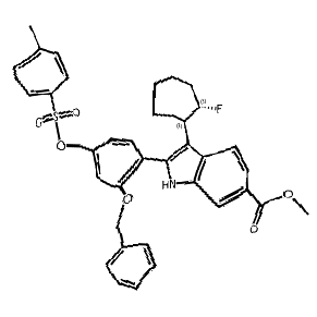 COC(=O)c1ccc2c([C@H]3CCCC[C@@H]3F)c(-c3ccc(OS(=O)(=O)c4ccc(C)cc4)cc3OCc3ccccc3)[nH]c2c1